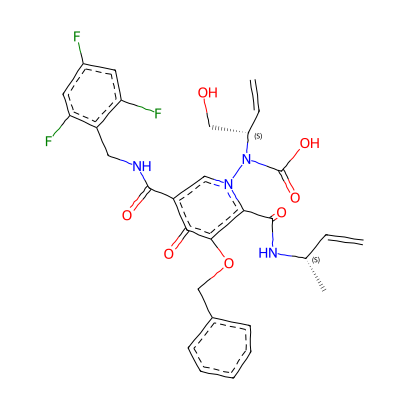 C=C[C@H](C)NC(=O)c1c(OCc2ccccc2)c(=O)c(C(=O)NCc2c(F)cc(F)cc2F)cn1N(C(=O)O)[C@@H](C=C)CO